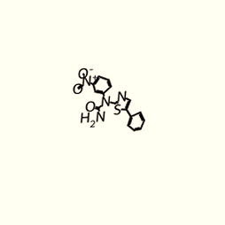 NC(=O)N(c1cccc([N+](=O)[O-])c1)c1ncc(-c2ccccc2)s1